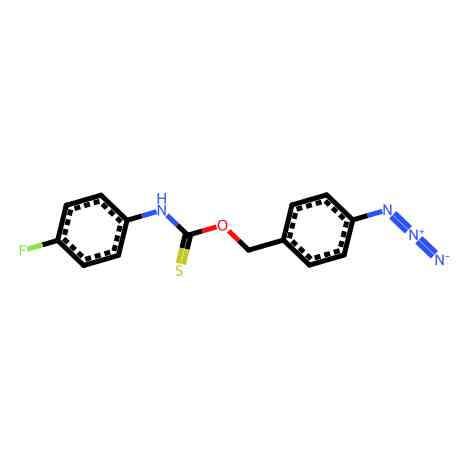 [N-]=[N+]=Nc1ccc(COC(=S)Nc2ccc(F)cc2)cc1